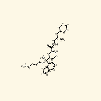 COCCCC[C@@](O)(c1cccc2sccc12)[C@@H]1CCCN(C(=O)NC[C@@H](N)CC2CCCCC2)C1